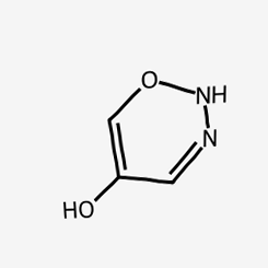 OC1=CONN=C1